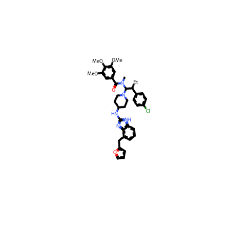 CCC(c1ccc(Cl)cc1)C(N1CCC(Nc2nc3c(Cc4ccco4)cccc3[nH]2)CC1)N(C)C(=O)c1cc(OC)c(OC)c(OC)c1